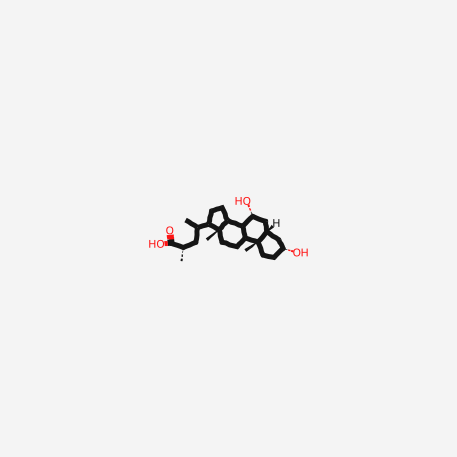 CC(C[C@H](C)C(=O)O)C1CCC2C3C(CC[C@]12C)[C@@]1(C)CC[C@@H](O)C[C@H]1C[C@H]3O